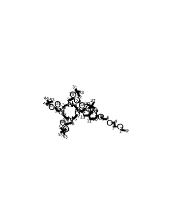 CCOCCOCCOc1ccc(C[C@H](C(=O)OC(C)(C)C)N2CCN(CC(=O)OC(C)(C)C)CCN(CC(=O)OC(C)(C)C)CCN(CC(=O)OC(C)(C)C)CC2)cn1